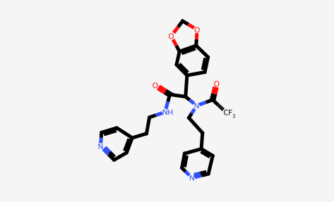 O=C(NCCc1ccncc1)C(c1ccc2c(c1)OCO2)N(CCc1ccncc1)C(=O)C(F)(F)F